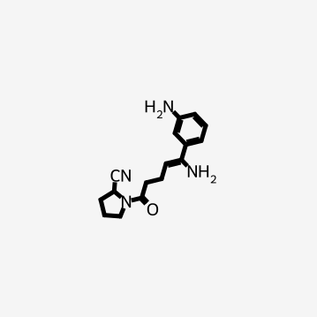 N#CC1CCCN1C(=O)CCC=C(N)c1cccc(N)c1